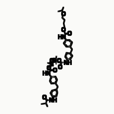 CC(C)OCCCCOC(=O)Nc1ccc(Cc2ccc(NC(=O)O[Si](C)(C)O[Si](C)(C)OC(=O)Nc3ccc(Cc4ccc(NC(=O)C(C)C)cc4)cc3)cc2)cc1